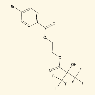 O=C(OCCOC(=O)C(O)(C(F)(F)F)C(F)(F)F)c1ccc(Br)cc1